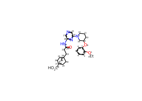 CCOc1ccccc1OC1CCCN(c2cncc(NC(=O)CCC34CCC(C(=O)O)(CC3)CC4)n2)C1